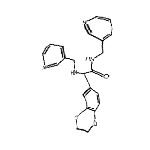 O=C(NCc1cccnc1)C(NCc1cccnc1)c1ccc2c(c1)OCCO2